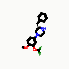 COc1ccc(N2CCN[C@@H](Cc3ccccc3)C2)cc1OC(F)F